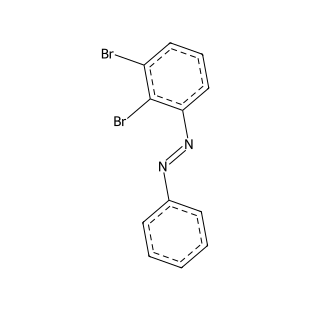 Brc1cccc(N=Nc2ccccc2)c1Br